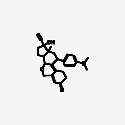 C#CC1(O)CCC2C3OCC4=CC(=O)CCC4=C3C(c3ccc(N(C)C)cc3)CC21C